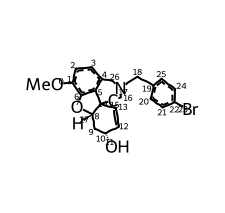 COc1ccc2c3c1O[C@H]1C[C@@H](O)C=CC31CCN(Cc1ccc(Br)cc1)C2